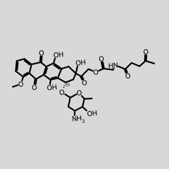 COc1cccc2c1C(=O)c1c(O)c3c(c(O)c1C2=O)CC(O)(C(=O)COC(=O)CNC(=O)CCC(C)=O)C[C@@H]3OC1CC(N)C(O)C(C)O1